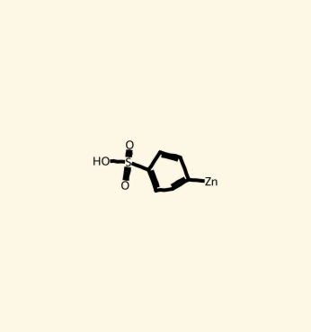 O=S(=O)(O)c1cc[c]([Zn])cc1